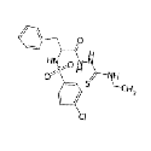 CCNC(=S)NNC(=O)C(Cc1ccccc1)NS(=O)(=O)c1ccc(Cl)cc1